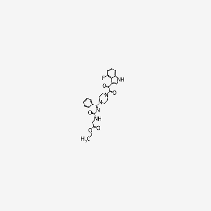 CCOC(=O)CNC(=O)/N=C(\c1ccccc1)N1CCN(C(=O)C(=O)c2c[nH]c3cccc(F)c23)CC1